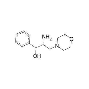 N[C@H](CN1CCOCC1)[C@H](O)c1ccccc1